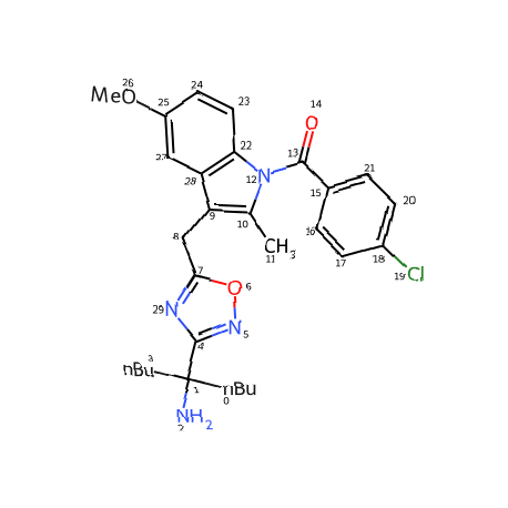 CCCCC(N)(CCCC)c1noc(Cc2c(C)n(C(=O)c3ccc(Cl)cc3)c3ccc(OC)cc23)n1